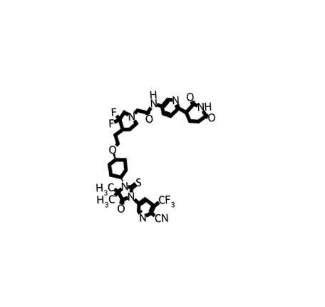 CC1(C)C(=O)N(c2cnc(C#N)c(C(F)(F)F)c2)C(=S)N1[C@H]1CC[C@H](OCCC2CCN(CC(=O)Nc3ccc(C4CCC(=O)NC4=O)nc3)CC2(F)F)CC1